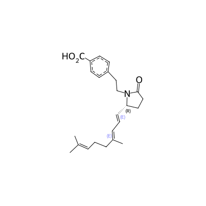 CC(C)=CCC/C(C)=C/C=C/[C@H]1CCC(=O)N1CCc1ccc(C(=O)O)cc1